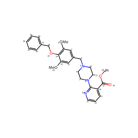 COc1cc(CN2CCN(c3ncccc3C(=O)OC(C)C)CC2)cc(OC)c1OCc1ccccc1